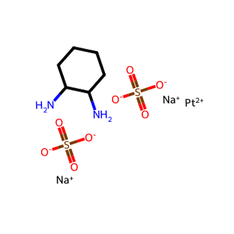 NC1CCCCC1N.O=S(=O)([O-])[O-].O=S(=O)([O-])[O-].[Na+].[Na+].[Pt+2]